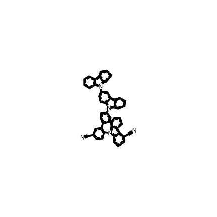 N#Cc1ccc(-n2c3ccccc3c3c(C#N)cccc32)c(-c2ccc(-n3c4ccccc4c4cc(-n5c6ccccc6c6ccccc65)ccc43)cc2)c1